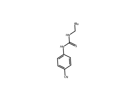 CC(C)(C)CNC(=S)Nc1ccc(C#N)cc1